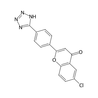 O=c1cc(-c2ccc(-c3nnn[nH]3)cc2)oc2ccc(Cl)cc12